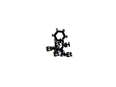 CC/N=C(\NN1CCCCC1)[N+](CC)(CC)CC